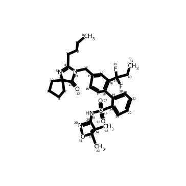 CCCCC1=NC2(CCCC2)C(=O)N1Cc1ccc(-c2ccccc2S(=O)(=O)Nc2noc(C)c2C)c(C(F)(F)CC)c1